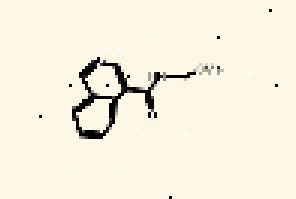 COCNC(=O)c1cccc2ccccc12